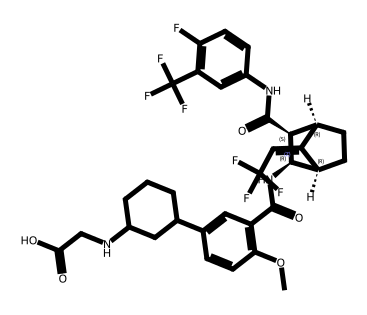 COc1ccc(C2CCCC(NCC(=O)O)C2)cc1C(=O)N[C@H]1[C@@H](C(=O)Nc2ccc(F)c(C(F)(F)F)c2)[C@H]2CC[C@@H]1/C2=C\C(F)(F)F